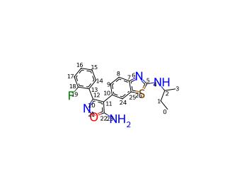 CCC(C)Nc1nc2ccc(-c3c(-c4ccccc4F)noc3N)cc2s1